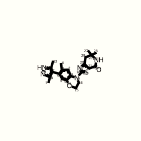 Cc1cc2c(cc1-c1c(C)n[nH]c1C)OCCN2c1nc2c(s1)C(=O)NC(C)(C)C2